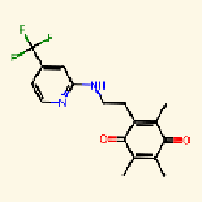 CC1=C(C)C(=O)C(CCNc2cc(C(F)(F)F)ccn2)=C(C)C1=O